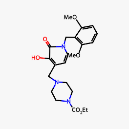 CCOC(=O)N1CCN(Cc2ccn(Cc3c(OC)cccc3OC)c(=O)c2O)CC1